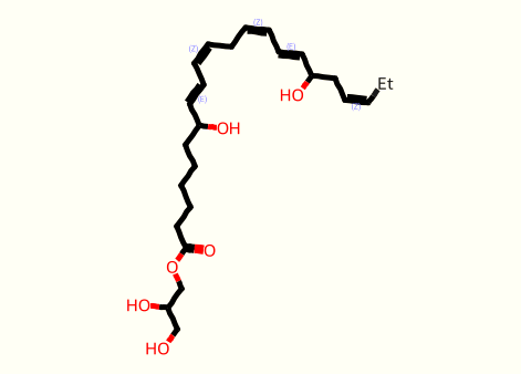 CC/C=C\CC(O)/C=C/C=C\C/C=C\C=C\C(O)CCCCCC(=O)OCC(O)CO